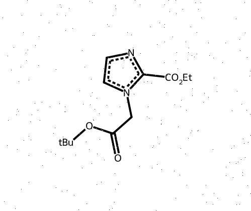 CCOC(=O)c1nccn1CC(=O)OC(C)(C)C